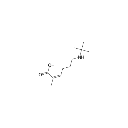 CC(=CCCCNC(C)(C)C)C(=O)O